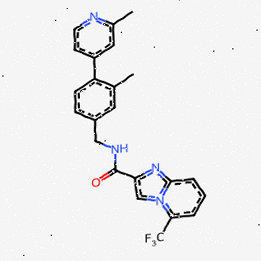 Cc1cc(-c2ccc(CNC(=O)c3cn4c(C(F)(F)F)cccc4n3)cc2C)ccn1